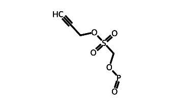 C#CCOS(=O)(=O)COP=O